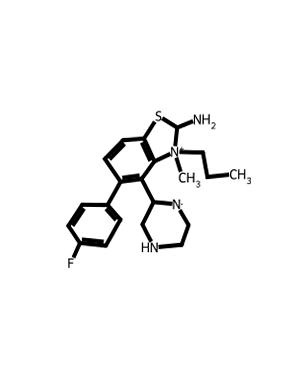 CCC[N+]1(C)c2c(ccc(-c3ccc(F)cc3)c2C2CNCC[N]2)SC1N